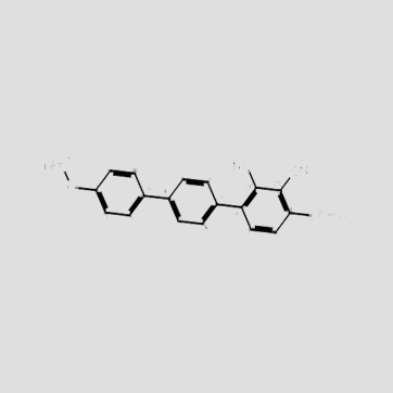 CCCCCc1ccc(-c2ccc(-c3ccc(OCCC)cc3)cc2)c(C#N)c1C#N